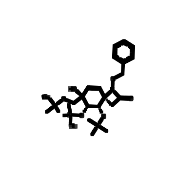 CC(C)(C)[Si](C)(C)OC[C@]1(O)C=C[C@]2(CC(=O)N2OCc2ccccc2)[C@H](O[Si](C)(C)C)[C@@H]1O[Si](C)(C)C(C)(C)C